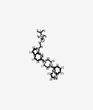 CC(C)[Si](C)(C)OCCn1ccc2ccc(N3CCN(c4cccc5nccn45)CC3)nc21